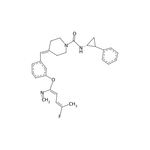 C=N/C(=C\C=C(/C)F)Oc1cccc(C=C2CCN(C(=O)N[C@@H]3CC3c3ccccc3)CC2)c1